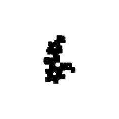 CCC1C[N]C(=NC(=O)c2ccccc2[N+](=O)[O-])S1